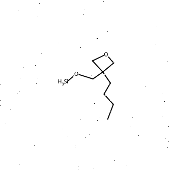 CCCCC1(CO[SiH3])COC1